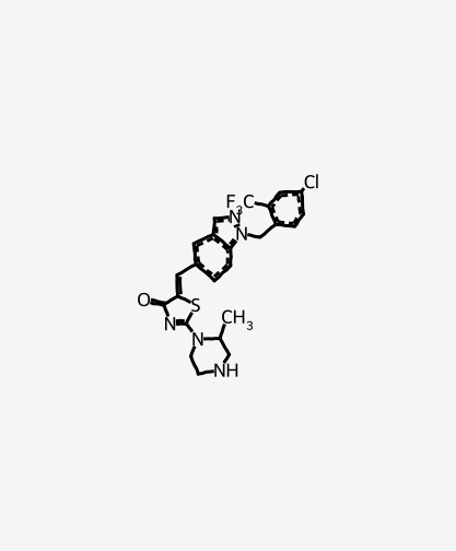 CC1CNCCN1C1=NC(=O)/C(=C/c2ccc3c(cnn3Cc3ccc(Cl)cc3C(F)(F)F)c2)S1